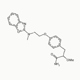 COC(Cc1ccc(OCCN(C)c2nc3ccccc3o2)cc1)C(N)=O